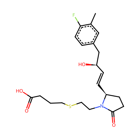 Cc1cc(C[C@H](O)/C=C/[C@H]2CCC(=O)N2CCSCCCC(=O)O)ccc1F